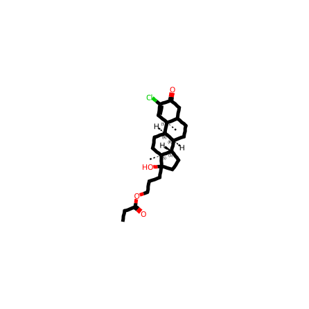 CCC(=O)OCCCC1(O)CC[C@H]2[C@@H]3CCC4CC(=O)C(Cl)=C[C@]4(C)[C@@H]3CC[C@@]21C